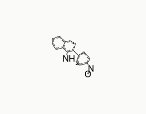 Nc1c(-c2ccc(N=O)cc2)ccc2ccccc12